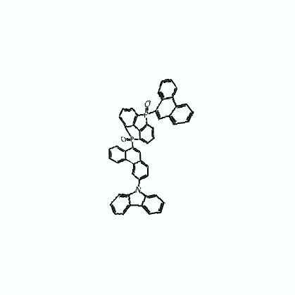 O=P1(c2cc3ccccc3c3ccccc23)c2cccc3c2-c2c1cccc2P3(=O)c1cc2ccc(-n3c4ccccc4c4ccccc43)cc2c2ccccc12